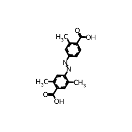 Cc1cc(C(=O)O)c(C)cc1/N=N/c1ccc(C(=O)O)c(C)c1